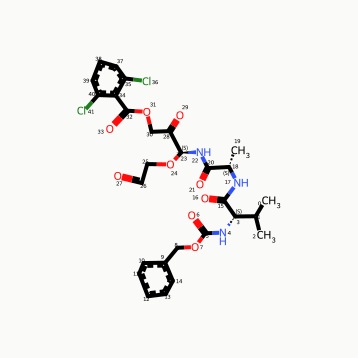 CC(C)[C@H](NC(=O)OCc1ccccc1)C(=O)N[C@@H](C)C(=O)N[C@@H](OCC=O)C(=O)COC(=O)c1c(Cl)cccc1Cl